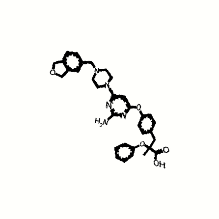 CC(Cc1ccc(Oc2cc(N3CCN(Cc4ccc5c(c4)COC5)CC3)nc(N)n2)cc1)(Oc1ccccc1)C(=O)O